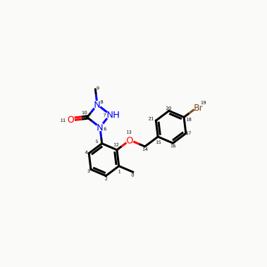 Cc1cccc(-n2[nH]n(C)c2=O)c1OCc1ccc(Br)cc1